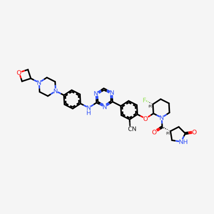 N#Cc1cc(-c2ncnc(Nc3ccc(N4CCN(C5COC5)CC4)cc3)n2)ccc1OC1[C@H](F)CCCN1C(=O)[C@H]1CNC(=O)C1